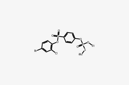 CCOP(=O)(Oc1ccc(S(=O)(=O)Oc2ccc(Br)cc2Cl)cc1)SC(C)CC